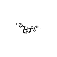 NC(=O)Oc1ccc2nccc([CH]C3CCNC3)c2n1